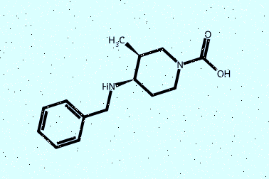 C[C@H]1CN(C(=O)O)CC[C@H]1NCc1ccccc1